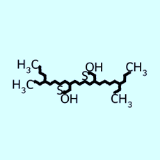 CCCCC(CCC)CCCCC(CCCCC(CCCCC(CCC)CCCC)CC(O)=S)CC(O)=S